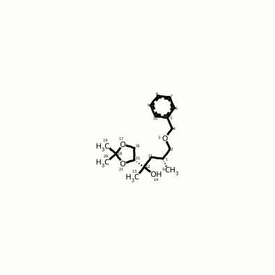 C[C@@H](COCc1ccccc1)CC(C)(O)[C@H]1COC(C)(C)O1